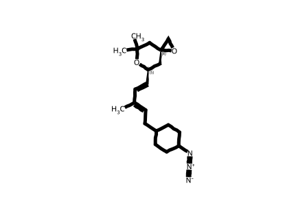 CC(C=C[C@@H]1C[C@]2(CO2)CC(C)(C)O1)=CCC1CCC(N=[N+]=[N-])CC1